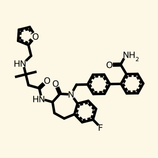 CC(C)(CC(=O)NC1CCc2cc(F)ccc2N(Cc2ccc(-c3ccccc3C(N)=O)cc2)C1=O)NCc1ccco1